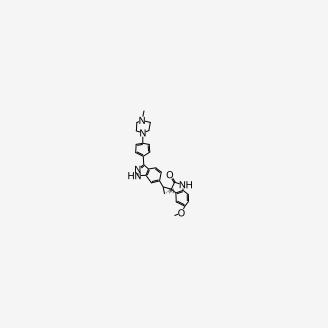 COc1ccc2c(c1)[C@]1(CC1c1ccc3c(-c4ccc(N5CCN(C)CC5)cc4)n[nH]c3c1)C(=O)N2